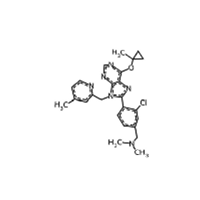 Cc1ccnc(Cn2c(-c3ccc(CN(C)C)cc3Cl)nc3c(OC4(C)CC4)ncnc32)c1